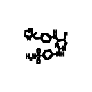 CC1(Cc2ccc(Nc3nc(Nc4ccc(S(N)(=O)=O)cc4)ncc3F)cc2)N=CC=N1